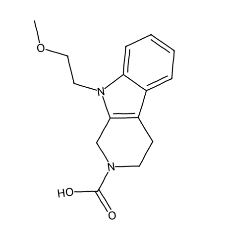 COCCn1c2c(c3ccccc31)CCN(C(=O)O)C2